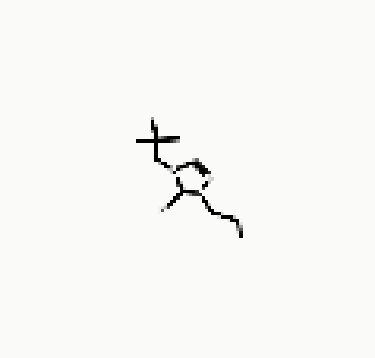 CCCN1N=CN(CC(C)(C)C)C1F